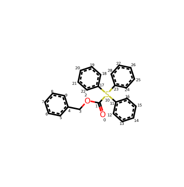 O=C(OCc1ccccc1)S(c1ccccc1)(c1ccccc1)c1ccccc1